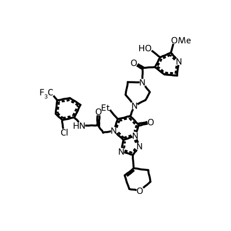 CCc1c(N2CCN(C(=O)c3ccnc(OC)c3O)CC2)c(=O)n2nc(C3=CCOCC3)nc2n1CC(=O)Nc1ccc(C(F)(F)F)cc1Cl